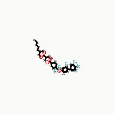 CCCCCC1COC(C2COC(C3CCC(C(F)(F)Oc4ccc(-c5cc(F)c(F)c(F)c5)c(F)c4)CC3)OC2)OC1